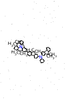 CC1(C)c2ccccc2-c2ccc(N(c3ccccc3)c3ccc4c(c3)C(C)(C)c3cc(-c5cc6c7c(c5)c5cccc8c5n7-c5c(cccc5C6(C)C)C8(C)C)ccc3-4)cc21